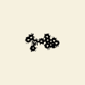 c1ccc(-c2nc(-c3ccc(-c4cc5c(c6ccccc46)-c4ccc6ccccc6c4C54c5ccccc5-c5ccccc54)cc3)cc(-c3cccc4ccccc34)n2)cc1